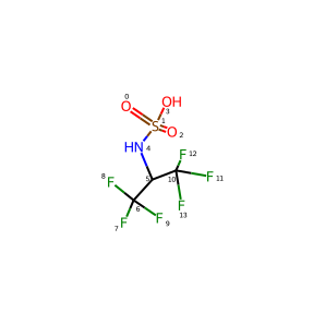 O=S(=O)(O)NC(C(F)(F)F)C(F)(F)F